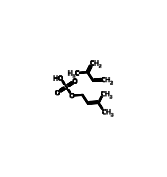 C=CC(=C)C.CC(C)=CCOS(=O)(=O)O